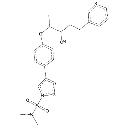 CC(Oc1ccc(-c2cnn(S(=O)(=O)N(C)C)c2)cc1)C(O)CCc1cccnc1